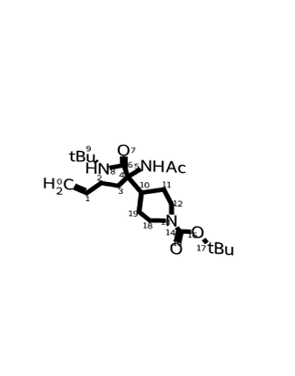 C=CCCC(NC(C)=O)(C(=O)NC(C)(C)C)C1CCN(C(=O)OC(C)(C)C)CC1